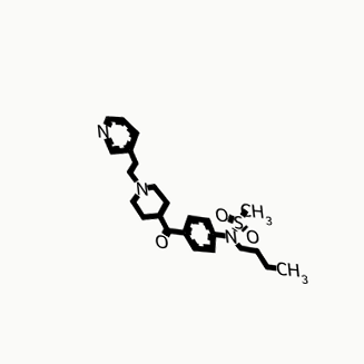 CCCCN(c1ccc(C(=O)C2CCN(CCc3cccnc3)CC2)cc1)S(C)(=O)=O